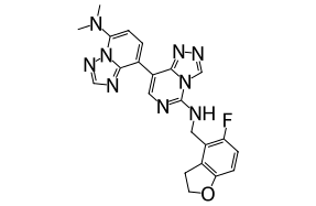 CN(C)c1ccc(-c2cnc(NCc3c(F)ccc4c3CCO4)n3cnnc23)c2ncnn12